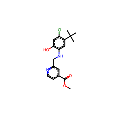 COC(=O)c1ccnc(CNc2cc(C(C)(C)C)c(Cl)cc2O)c1